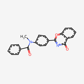 CN(C(=O)c1ccccc1)c1ccc(-c2nc(=O)c3ccccc3o2)cc1